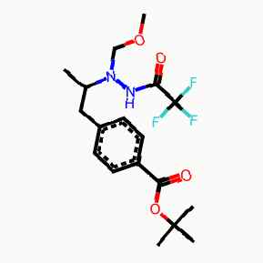 COCN(NC(=O)C(F)(F)F)C(C)Cc1ccc(C(=O)OC(C)(C)C)cc1